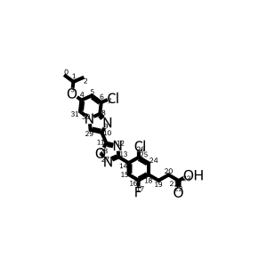 CC(C)Oc1cc(Cl)c2nc(-c3nc(-c4cc(F)c(CCC(=O)O)cc4Cl)no3)cn2c1